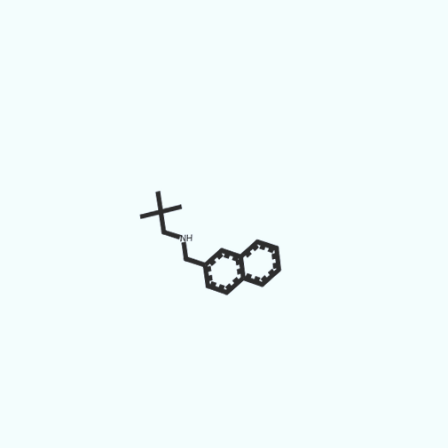 CC(C)(C)CNCc1ccc2ccccc2c1